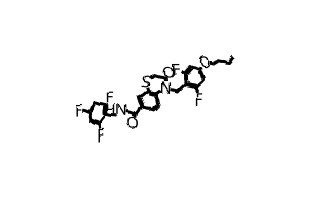 CCCCOc1cc(F)c(CN2C(=O)CSc3cc(C(=O)NCc4c(F)cc(F)cc4F)ccc32)c(F)c1